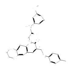 COc1cccc(NC(=O)Cn2c(=O)c(CNc3ccc(C)cc3)cc3cc4c(cc32)OCCO4)c1